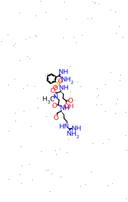 CN(CC(=O)N[C@H](C=O)CCCNC(=N)N)C(=O)[C@H](CCC(=O)O)NS(=O)(=O)c1ccccc1C(=N)N